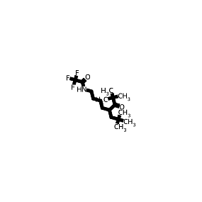 CC(C)(C)CC(CCCCNC(=O)C(F)(F)F)C(=O)C(C)(C)C